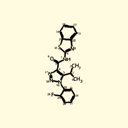 CC(C)c1c(C(=O)Nc2nc3ccccc3s2)nnn1-c1ccccc1F